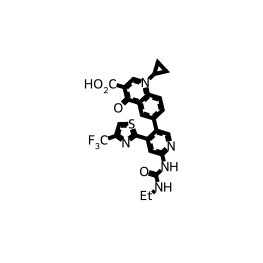 CCNC(=O)Nc1cc(-c2nc(C(F)(F)F)cs2)c(-c2ccc3c(c2)c(=O)c(C(=O)O)cn3C2CC2)cn1